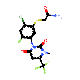 Cn1c(C(F)(F)F)cc(=O)n(-c2cc(SCC(N)=O)c(Cl)cc2F)c1=O